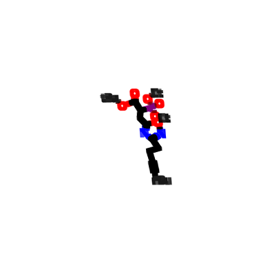 CCCCC#CCCc1noc(CC(C(=O)OC(C)(C)C)P(=O)(OCC)OCC)n1